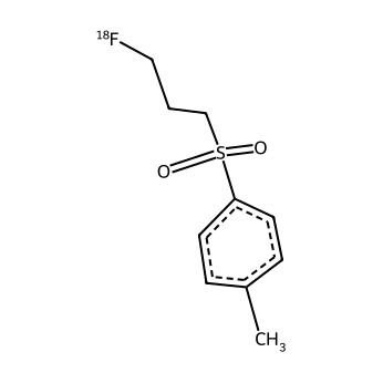 Cc1ccc(S(=O)(=O)CCC[18F])cc1